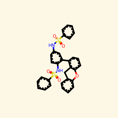 O=S(=O)(Nc1ccc(NS(=O)(=O)c2ccccc2)c(-c2cccc3c2Cc2ccccc2O3)c1)c1ccccc1